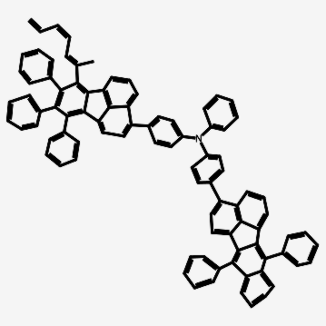 C=C/C=C\C=C(/C)c1c(-c2ccccc2)c(-c2ccccc2)c(-c2ccccc2)c2c1-c1cccc3c(-c4ccc(N(c5ccccc5)c5ccc(-c6ccc7c8c(cccc68)-c6c-7c(-c7ccccc7)c7ccccc7c6-c6ccccc6)cc5)cc4)ccc-2c13